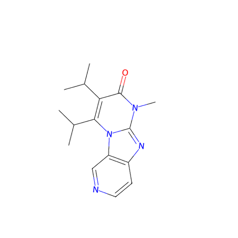 CC(C)c1c(C(C)C)n2c3cnccc3nc2n(C)c1=O